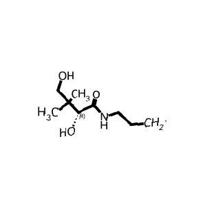 [CH2]CCNC(=O)[C@H](O)C(C)(C)CO